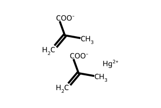 C=C(C)C(=O)[O-].C=C(C)C(=O)[O-].[Hg+2]